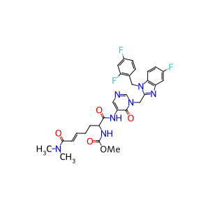 COC(=O)NC(CCC=CC(=O)N(C)C)C(=O)Nc1cncn(Cc2nc3cc(F)ccc3n2Cc2ccc(F)cc2F)c1=O